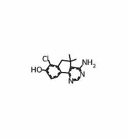 CC1(C)Cc2c(ccc(O)c2Cl)-c2ncnc(N)c21